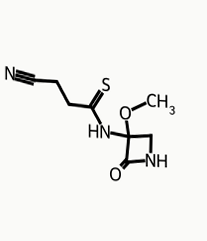 COC1(NC(=S)CCC#N)CNC1=O